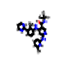 [2H]C([2H])([2H])NC(=O)c1cnc(Nc2cccc(C#N)n2)cc1Nc1cccc(-c2ncccn2)c1OC